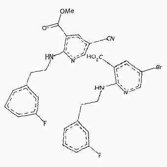 COC(=O)c1cc(C#N)cnc1NCCc1cccc(F)c1.O=C(O)c1cc(Br)cnc1NCCc1cccc(F)c1